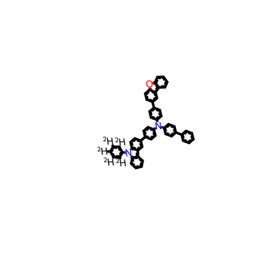 [2H]c1c([2H])c([2H])c(-n2c3ccccc3c3cc(-c4ccc(N(c5ccc(-c6ccccc6)cc5)c5ccc(-c6ccc7oc8ccccc8c7c6)cc5)cc4)ccc32)c([2H])c1[2H]